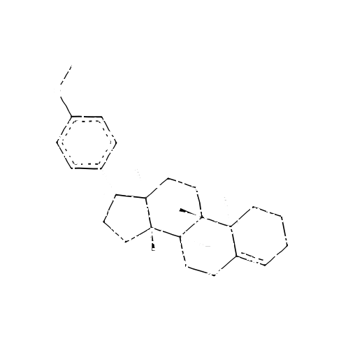 COc1ccc([C@H]2CC[C@H]3[C@@H]4CCC5=CCCC[C@]5(C)[C@H]4CC[C@]23C)cc1